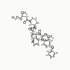 COC(C)CC(=O)N1CCCC(NC(=O)c2sc3nccc4c3c2NC(=O)N4c2ccc(Oc3ccccc3)cc2C)C1